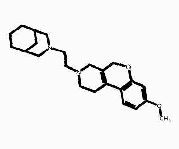 COc1ccc2c(c1)OCC1=C2CCN(CCN2CC3CCCC(C3)C2)C1